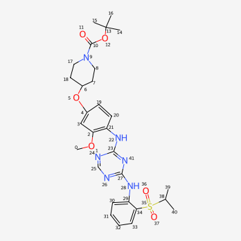 COc1cc(OC2CCN(C(=O)OC(C)(C)C)CC2)ccc1Nc1ncnc(Nc2ccccc2S(=O)(=O)C(C)C)n1